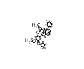 CCOC(=O)[C@H]1[C@H](c2ccc(OC)c(OC3CCCC3)c2)CC(=O)N1NC(=O)c1ccccc1